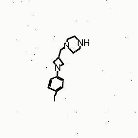 Ic1ccc(N2CC(CN3CCNCC3)C2)cc1